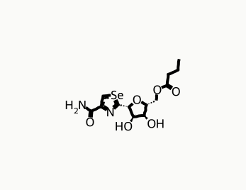 CCCC(=O)OC[C@H]1O[C@@H](c2nc(C(N)=O)c[se]2)[C@H](O)[C@@H]1O